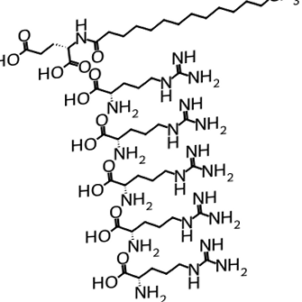 CCCCCCCCCCCCCC(=O)N[C@@H](CCC(=O)O)C(=O)O.N=C(N)NCCC[C@H](N)C(=O)O.N=C(N)NCCC[C@H](N)C(=O)O.N=C(N)NCCC[C@H](N)C(=O)O.N=C(N)NCCC[C@H](N)C(=O)O.N=C(N)NCCC[C@H](N)C(=O)O